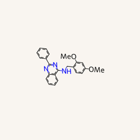 COc1ccc(CNc2nc(-c3ccccc3)nc3ccccc23)c(OC)c1